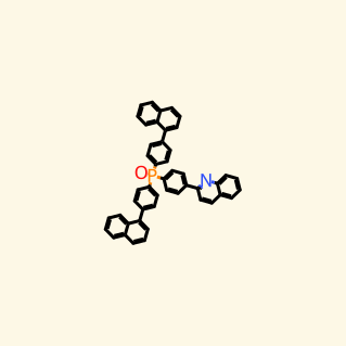 O=P(c1ccc(-c2ccc3ccccc3n2)cc1)(c1ccc(-c2cccc3ccccc23)cc1)c1ccc(-c2cccc3ccccc23)cc1